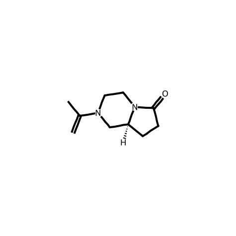 C=C(C)N1CCN2C(=O)CC[C@H]2C1